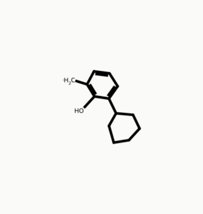 [CH2]c1cccc(C2CCCCC2)c1O